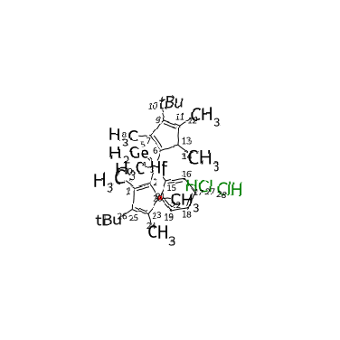 CC1=[C]([Hf]([CH3])(=[GeH2])([C]2=C(C)C(C(C)(C)C)=C(C)C2C)[c]2ccccc2)C(C)C(C)=C1C(C)(C)C.Cl.Cl